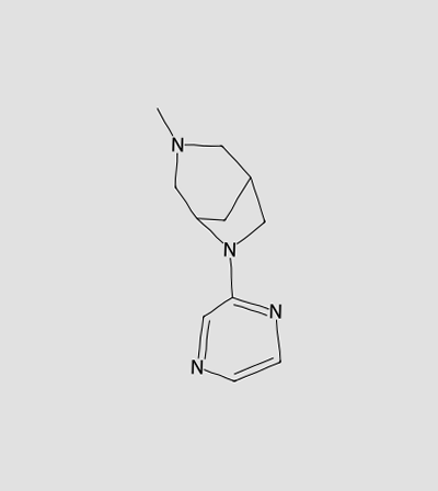 CN1CC2CC(C1)N(c1cnccn1)C2